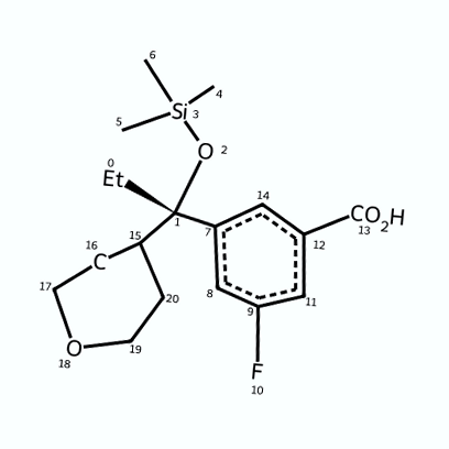 CC[C@@](O[Si](C)(C)C)(c1cc(F)cc(C(=O)O)c1)C1CCOCC1